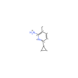 Cc1ccc(C2CC2)nc1N